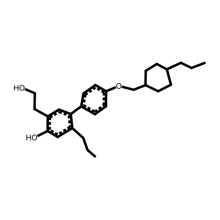 CCCc1cc(O)c(CCO)cc1-c1ccc(OCC2CCC(CCC)CC2)cc1